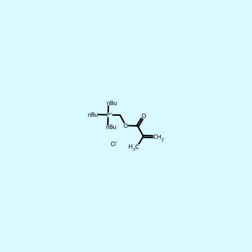 C=C(C)C(=O)OC[P+](CCCC)(CCCC)CCCC.[Cl-]